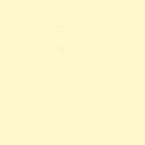 CP(=O)(O)CCC(N)C(=O)O.O=C(O)c1cc(Oc2ccc(C(F)(F)F)cc2Cl)ccc1[N+](=O)[O-]